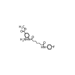 COC(=O)c1ccc(NC(=O)CCCCCC(=O)Nc2ccc(F)cc2)c(N)c1